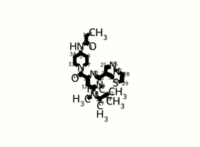 CCC(=O)NC1CCN(C(=O)c2cc(N(C)C(C)C(C)(C)C)nc(-c3cnn4ccsc34)n2)CC1